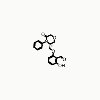 O=Cc1c(O)cccc1OC[C@@H]1COCC(=O)N1c1ccccc1